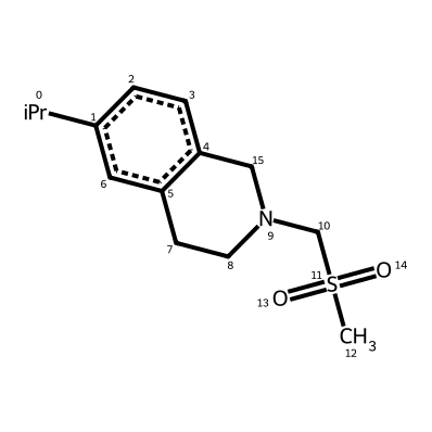 CC(C)c1ccc2c(c1)CCN(CS(C)(=O)=O)C2